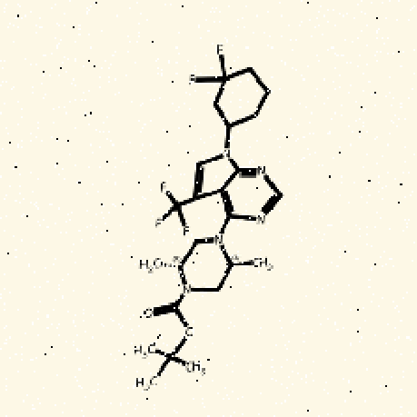 C[C@@H]1CN(c2ncnc3c2c(C(F)(F)F)cn3C2CCCC(F)(F)C2)[C@@H](C)CN1C(=O)OC(C)(C)C